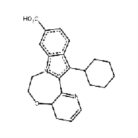 O=C(O)c1ccc2c(C3CCCCC3)c3n(c2c1)CCOC1CC=CN=C31